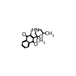 CC1CNCC(C)(C2=C(I)C(=O)c3ccccc3C2=O)O1